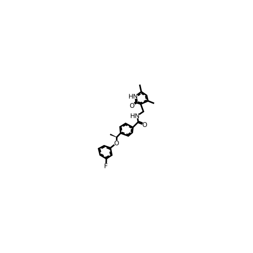 Cc1cc(C)c(CNC(=O)c2ccc([C@H](C)Oc3cccc(F)c3)cc2)c(=O)[nH]1